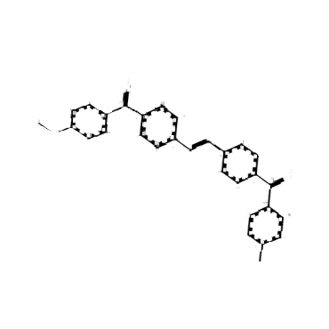 COc1ccc(C(=O)c2ccc(/C=C/c3ccc(C(=O)c4ccc(C)cc4)cc3)cc2)cc1